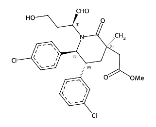 COC(=O)C[C@@]1(C)C[C@H](c2cccc(Cl)c2)[C@@H](c2ccc(Cl)cc2)N([C@H](C=O)CCO)C1=O